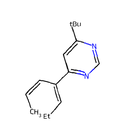 C/C=C\C(=C/CC)c1cc(C(C)(C)C)ncn1